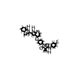 COc1ccccc1NC(=O)c1cc2c(Oc3ccc(NC(=O)C4(C(=O)Nc5ccc(F)cc5)CC4)cc3)ccnc2[nH]1